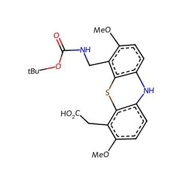 COc1ccc2c(c1CNC(=O)OC(C)(C)C)Sc1c(ccc(OC)c1CC(=O)O)N2